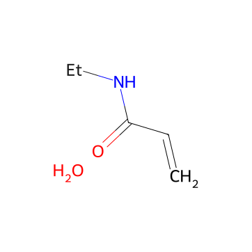 C=CC(=O)NCC.O